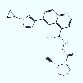 N#C[C@@H]1CSCN1C(=O)CNC(O)c1ccnc2ccc(-c3cnn(C4CC4)c3)cc12